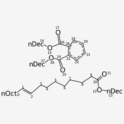 CCCCCCCCC=CCCCCCCCC(=O)OCCCCCCCCCC.CCCCCCCCCCOC(=O)c1ccccc1C(=O)OCCCCCCCCCC